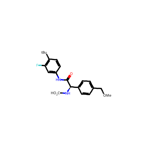 COCc1ccc([C@@H](NC(=O)O)C(=O)Nc2ccc(C(C)(C)C)c(F)c2)cc1